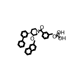 O=C(c1cccc(CON(O)O)c1)N1CC[C@H](c2cccc(-c3ccccc3)c2)[C@@H](OCc2ccc3ccccc3c2)C1